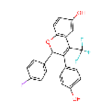 Oc1ccc(C2=C(C(F)(F)F)c3cc(O)ccc3OC2c2ccc(I)cc2)cc1